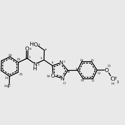 O=C(NC(CO)c1nc(-c2ccc(OC(F)(F)F)cc2)no1)c1cccc(F)c1